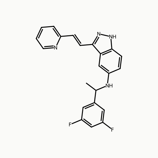 CC(Nc1ccc2[nH]nc(C=Cc3ccccn3)c2c1)c1cc(F)cc(F)c1